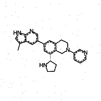 Cc1c[nH]c2ncc(-c3cc4c(c([C@@H]5CCCN5)c3)CN(c3cccnc3)CC4)cc12